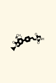 COc1cc(-c2ccc(CCN3C(=O)CNC3=O)cc2)cc2c1C(=O)N(C1CC1)C2